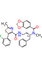 Cc1nc(C(=O)NCC[C@H](Cc2ccccc2)N(C)C(=O)c2ccc3c(c2)OCO3)c(-c2ccccc2F)s1